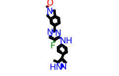 Cc1[nH]ncc1-c1ccc(Nc2nc(-c3ccc4c(c3)CN(C=O)C4)ncc2F)cc1